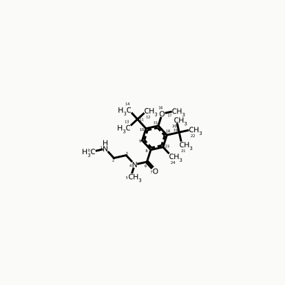 CNCCN(C)C(=O)c1cc(C(C)(C)C)c(OC)c(C(C)(C)C)c1C